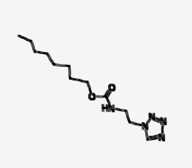 CCCCCCCCOC(=O)NCCn1cnnn1